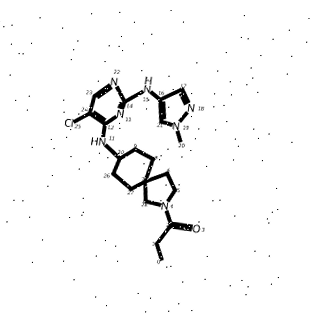 CCC(=O)N1CCC2(CCC(Nc3nc(Nc4cnn(C)c4)ncc3Cl)CC2)C1